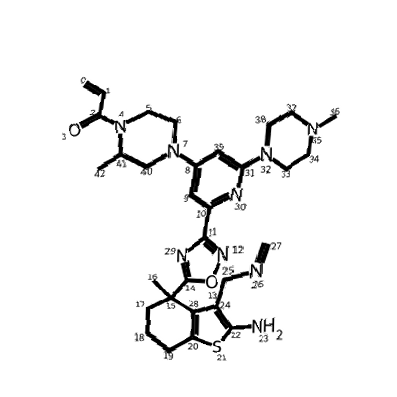 C=CC(=O)N1CCN(c2cc(-c3noc(C4(C)CCCc5sc(N)c(CN=C)c54)n3)nc(N3CCN(C)CC3)c2)CC1C